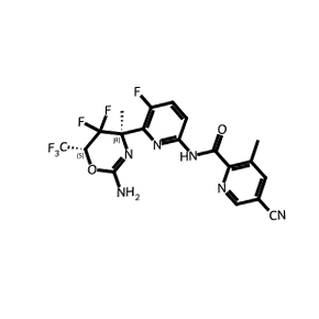 Cc1cc(C#N)cnc1C(=O)Nc1ccc(F)c([C@@]2(C)N=C(N)O[C@H](C(F)(F)F)C2(F)F)n1